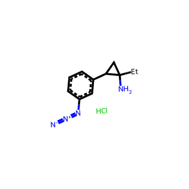 CCC1(N)CC1c1cccc(N=[N+]=[N-])c1.Cl